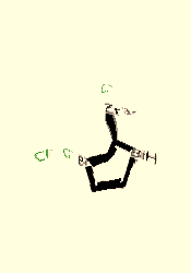 [Cl-].[Cl-].[Cl-].[Zr+3][C]1=[Bi][CH]=[CH][BiH]1